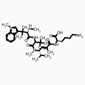 CN[C@H](C(=O)NC(C(=O)N(C)[C@H](/C=C(\C)C(=O)N[C@H](CCCCN)C(=O)O)C(C)C)C(C)(C)C)C(C)(C)c1cn(C)c2ccccc12